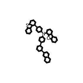 c1cc(-c2ccc(N(c3ccc(-c4cccc5sc6ccccc6c45)cc3)c3cccc4c3oc3ccccc34)cc2)cc(-c2ccc3ccccc3c2)c1